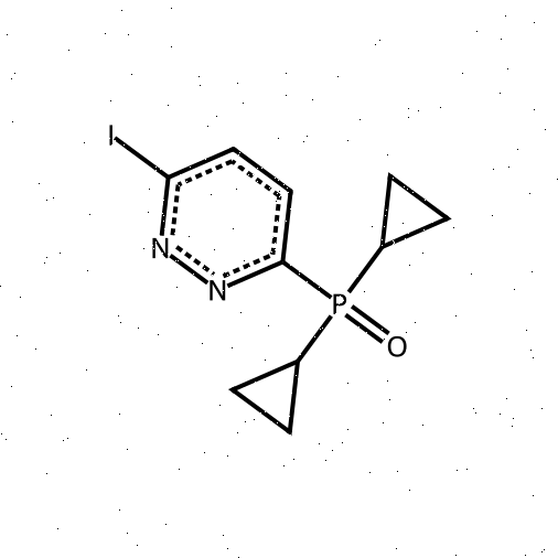 O=P(c1ccc(I)nn1)(C1CC1)C1CC1